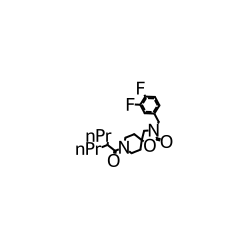 CCCC(CCC)C(=O)N1CCC2(CC1)CN(Cc1ccc(F)c(F)c1)C(=O)O2